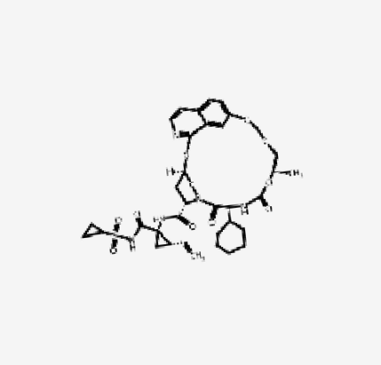 C=C[C@@H]1C[C@]1(NC(=O)[C@@H]1C[C@@H]2CN1C(=O)[C@H](C1CCCCC1)NC(=O)O[C@H](C)CCCCc1ccc3ccnc(c3c1)O2)C(=O)NS(=O)(=O)C1CC1